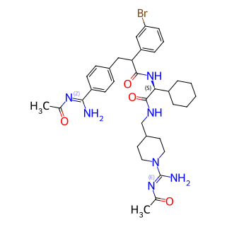 CC(=O)/N=C(\N)c1ccc(CC(C(=O)N[C@H](C(=O)NCC2CCN(/C(N)=N/C(C)=O)CC2)C2CCCCC2)c2cccc(Br)c2)cc1